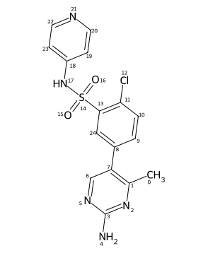 Cc1nc(N)ncc1-c1ccc(Cl)c(S(=O)(=O)Nc2ccncc2)c1